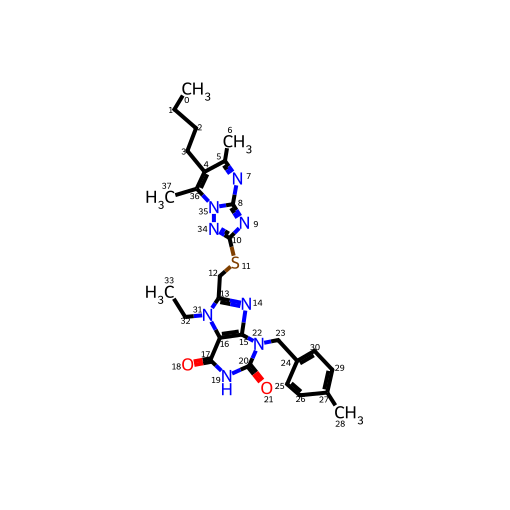 CCCCc1c(C)nc2nc(SCc3nc4c(c(=O)[nH]c(=O)n4Cc4ccc(C)cc4)n3CC)nn2c1C